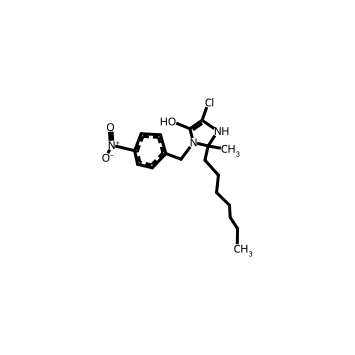 CCCCCCCC1(C)NC(Cl)=C(O)N1Cc1ccc([N+](=O)[O-])cc1